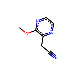 COc1nccnc1CC#N